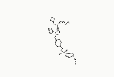 O=C(O)[C@@H](CC1CCC1)N1CC[C@@H](CN2CCC(CCC(F)(F)c3ccc(F)cc3)CC2)[C@H]1c1ccsc1